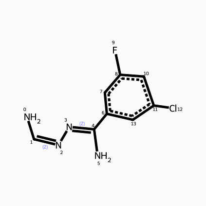 N/C=N\N=C(/N)c1cc(F)cc(Cl)c1